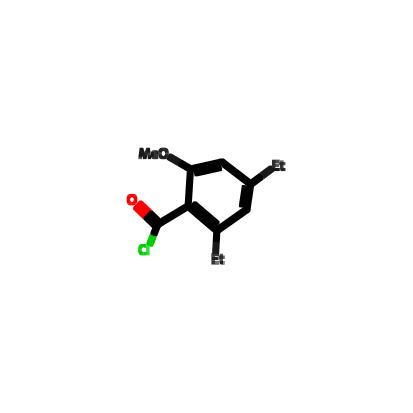 CCc1cc(CC)c(C(=O)Cl)c(OC)c1